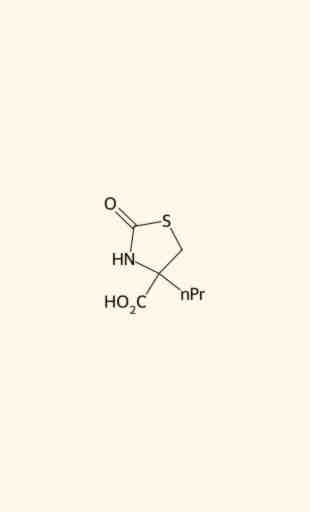 CCCC1(C(=O)O)CSC(=O)N1